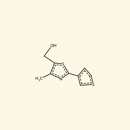 Cc1nc(-c2ccsc2)sc1CO